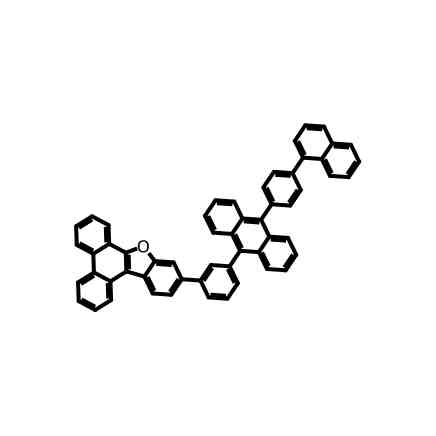 c1cc(-c2ccc3c(c2)oc2c4ccccc4c4ccccc4c32)cc(-c2c3ccccc3c(-c3ccc(-c4cccc5ccccc45)cc3)c3ccccc23)c1